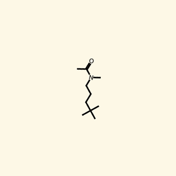 CC(=O)N(C)CCCC(C)(C)C